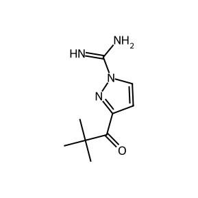 CC(C)(C)C(=O)c1ccn(C(=N)N)n1